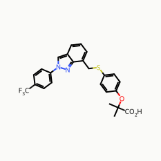 CC(C)(Oc1ccc(SCc2cccc3cn(-c4ccc(C(F)(F)F)cc4)nc23)cc1)C(=O)O